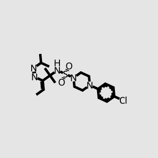 C/C=C(\N=N/C(C)C)C(C)(C)NS(=O)(=O)N1CCN(c2ccc(Cl)cc2)CC1